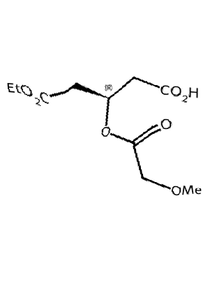 CCOC(=O)C[C@@H](CC(=O)O)OC(=O)COC